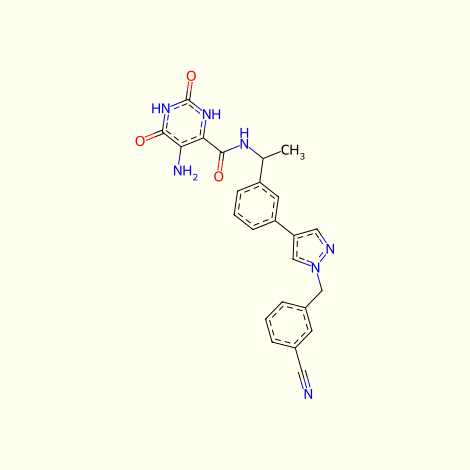 CC(NC(=O)c1[nH]c(=O)[nH]c(=O)c1N)c1cccc(-c2cnn(Cc3cccc(C#N)c3)c2)c1